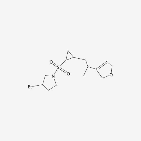 CCC1CCN(S(=O)(=O)C2CC2CC(C)C2=CCOC2)C1